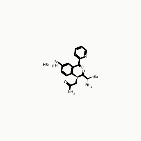 Br.Br.CC[C@H](C)[C@H](N)C(=O)N(CC(N)=O)c1ccc(Br)cc1C(=O)c1ccccn1